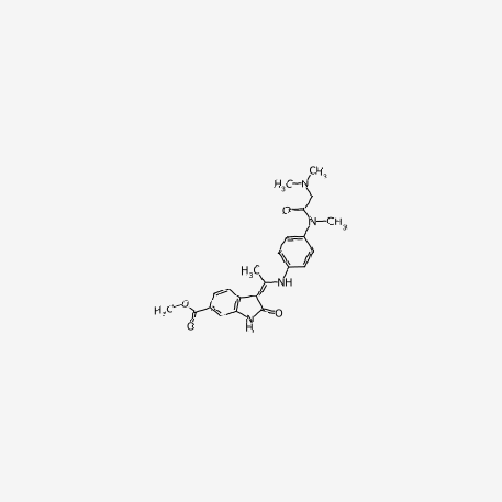 COC(=O)c1ccc2c(c1)NC(=O)/C2=C(/C)Nc1ccc(N(C)C(=O)CN(C)C)cc1